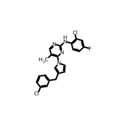 Cc1cnc(Nc2ccc(F)cc2Cl)nc1-n1ccc(Cc2cccc(Cl)c2)c1